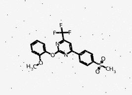 COc1ccccc1Oc1nc(-c2ccc(S(C)(=O)=O)cc2)cc(C(F)(F)F)n1